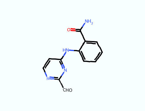 NC(=O)c1ccccc1Nc1ccnc(C=O)n1